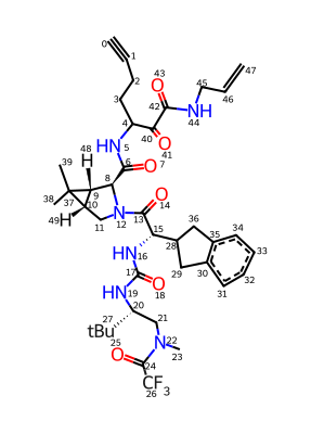 C#CCCC(NC(=O)[C@@H]1[C@@H]2[C@H](CN1C(=O)[C@@H](NC(=O)N[C@H](CN(C)C(=O)C(F)(F)F)C(C)(C)C)C1Cc3ccccc3C1)C2(C)C)C(=O)C(=O)NCC=C